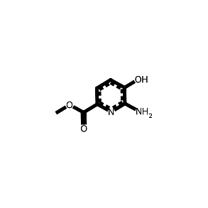 COC(=O)c1ccc(O)c(N)n1